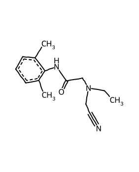 CCN(CC#N)CC(=O)Nc1c(C)cccc1C